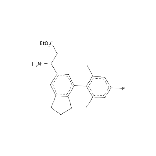 CCOC(=O)CC(N)c1cc2c(c(-c3c(C)cc(F)cc3C)c1)CCC2